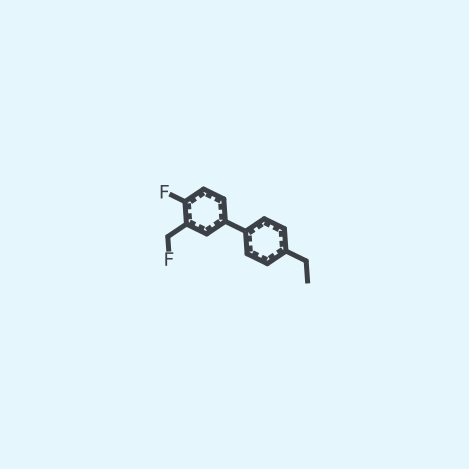 CCc1ccc(-c2ccc(F)c(CF)c2)cc1